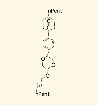 CCCCC/C=C/COC1COC(c2ccc(C34CCC(CCCCC)(CC3)CC4)cc2)CO1